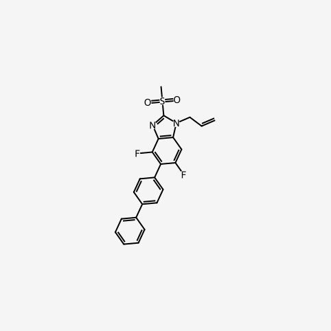 C=CCn1c(S(C)(=O)=O)nc2c(F)c(-c3ccc(-c4ccccc4)cc3)c(F)cc21